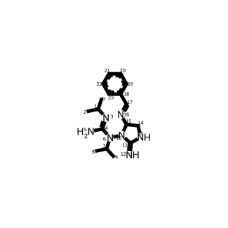 CC(C)N=C(N)N(C(C)C)N1C(=N)NCC1N=Cc1ccccc1